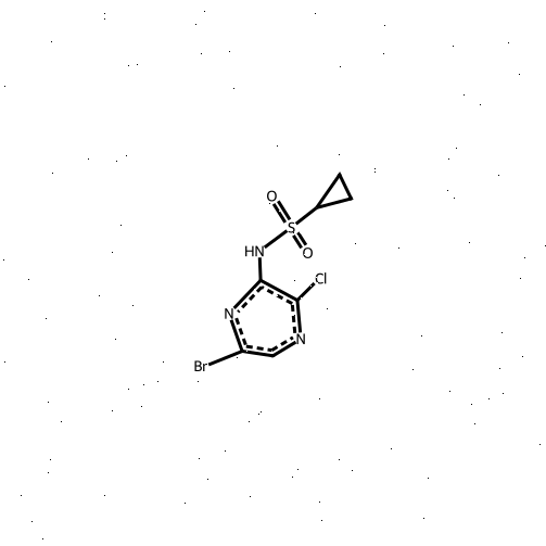 O=S(=O)(Nc1nc(Br)cnc1Cl)C1CC1